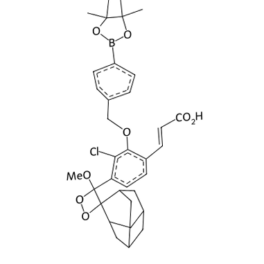 COC1(c2ccc(/C=C/C(=O)O)c(OCc3ccc(B4OC(C)(C)C(C)(C)O4)cc3)c2Cl)OOC12C1CC3CC(C1)CC2C3